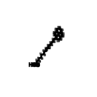 O=C(O)CCCCCCCCCCCCCCCc1ccc2ccc3cccc4ccc1c2c34